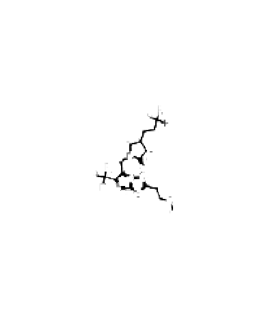 COCCc1nn2c(CN3CC(CCC(F)(F)F)CC3=O)c(C(F)(F)F)nc2s1